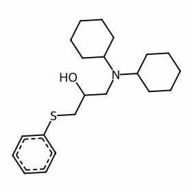 OC(CSc1ccccc1)CN(C1CCCCC1)C1CCCCC1